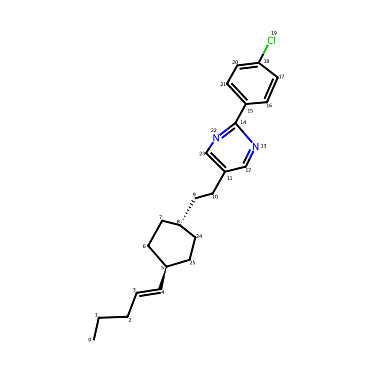 CCCC=C[C@H]1CC[C@H](CCc2cnc(-c3ccc(Cl)cc3)nc2)CC1